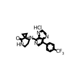 Cl.O=C1NCC[C@H](Nc2ncc(-c3ccc(C(F)(F)F)cc3)c3nccnc23)C12CC2